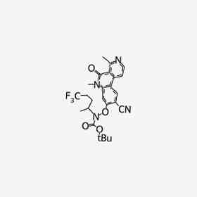 Cc1nccc2c1c(=O)n(C)c1cc(ON(C(=O)OC(C)(C)C)C(C)CCC(F)(F)F)c(C#N)cc21